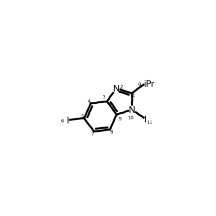 CC(C)c1nc2cc(I)ccc2n1I